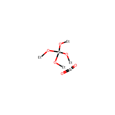 CCO[Si](OCC)(OCC)OCC.O=[Si]=O